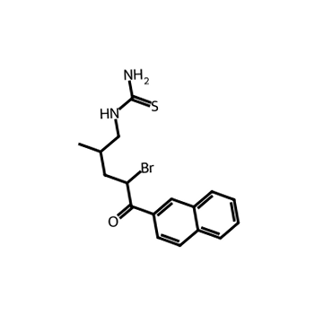 CC(CNC(N)=S)CC(Br)C(=O)c1ccc2ccccc2c1